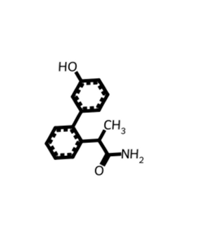 CC(C(N)=O)c1ccccc1-c1cccc(O)c1